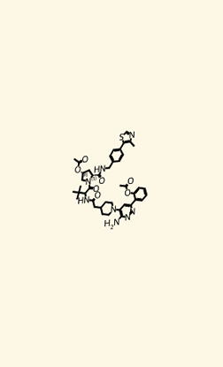 CC(=O)Oc1ccccc1-c1cc(N2CCC(CC(=O)NC(C(=O)N3C[C@H](OC(C)=O)C[C@H]3C(=O)NCc3ccc(-c4scnc4C)cc3)C(C)(C)C)CC2)c(N)nn1